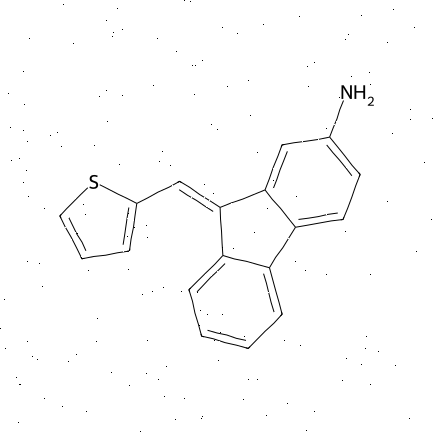 Nc1ccc2c(c1)/C(=C/c1cccs1)c1ccccc1-2